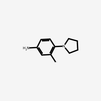 [CH2]c1cc(N)ccc1N1CCCC1